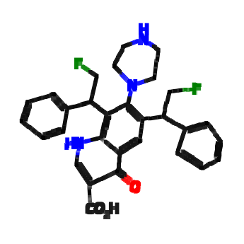 O=C(O)c1c[nH]c2c(C(CF)c3ccccc3)c(N3CCNCC3)c(C(CF)c3ccccc3)cc2c1=O